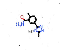 CCn1c(C)nnc1-c1ccc(C)c(C(N)=O)c1